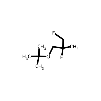 CC(F)(CF)COC(C)(C)C